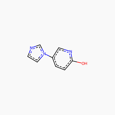 Oc1ccc(-n2ccnc2)cn1